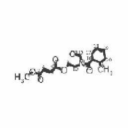 COC(=O)/C=C/C(=O)OCCN(C=O)C(=O)C1CC=CCC1C